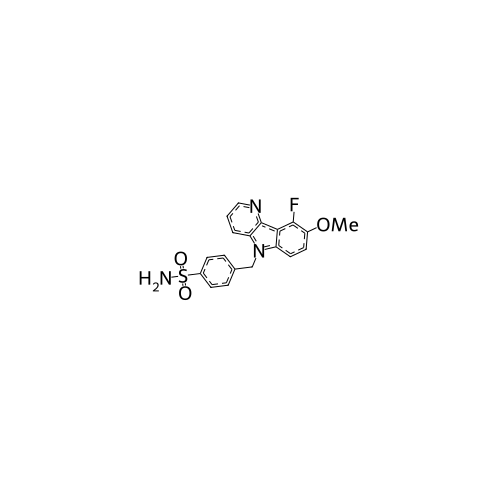 COc1ccc2c(c1F)c1ncccc1n2Cc1ccc(S(N)(=O)=O)cc1